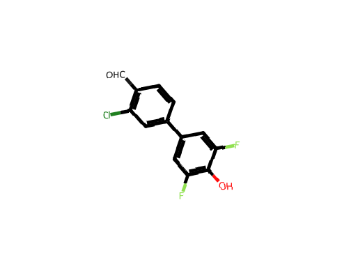 O=Cc1ccc(-c2cc(F)c(O)c(F)c2)cc1Cl